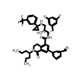 CCCC(CCC)N1CCc2c(C(=O)N[C@@H](Cc3cc(F)cc(F)c3)[C@@H](O)CNC3(c4cccc(C(F)(F)F)c4)CC3)cc(-c3cccc(C#N)c3)cc2C1=O